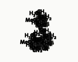 C=CC(=O)Nc1cc(Nc2ncc(-c3ccnn3C)c(-c3cn4c5c(cccc35)CCC4)n2)c(OC)cc1N(C)CCN(C)C.C=CC(=O)Nc1cc(Nc2ncc(C#N)c(-c3cn4c5c(cccc35)CCC4)n2)c(OC)cc1N(C)CCN(C)C.C=CC(=O)Nc1cc(Nc2ncc(OCC#N)c(-c3cn4c5c(cccc35)CCC4)n2)c(OC)cc1N(C)CCN(C)C